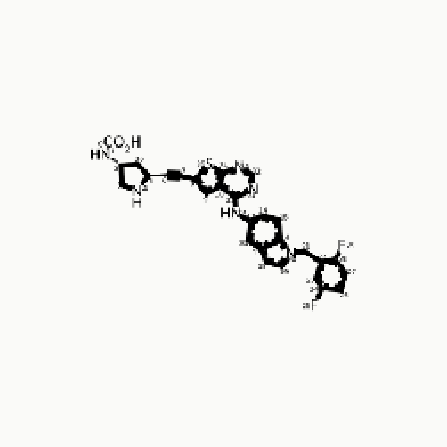 O=C(O)N[C@H]1CN[C@H](C#Cc2cc3c(Nc4ccc5c(ccn5Cc5cc(F)ccc5F)c4)ncnc3s2)C1